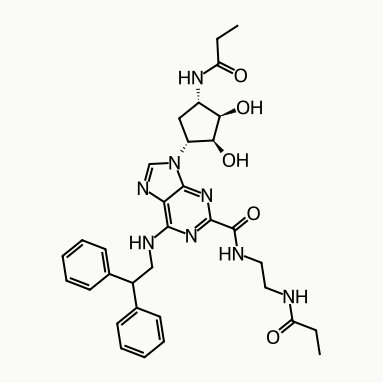 CCC(=O)NCCNC(=O)c1nc(NCC(c2ccccc2)c2ccccc2)c2ncn([C@@H]3C[C@H](NC(=O)CC)[C@@H](O)[C@H]3O)c2n1